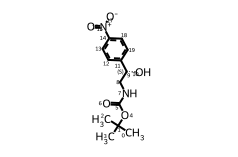 CC(C)(C)OC(=O)NC[C@@H](O)c1ccc([N+](=O)[O-])cc1